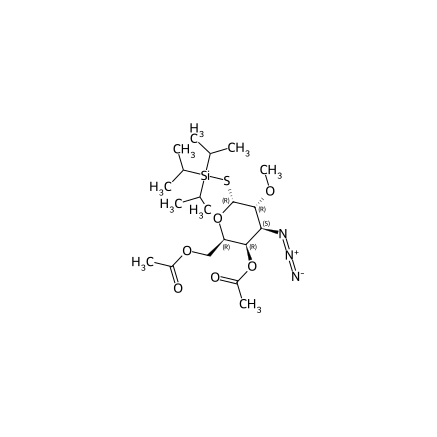 CO[C@@H]1[C@@H](N=[N+]=[N-])[C@@H](OC(C)=O)[C@@H](COC(C)=O)O[C@@H]1S[Si](C(C)C)(C(C)C)C(C)C